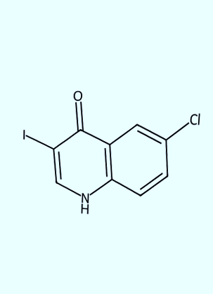 O=c1c(I)c[nH]c2ccc(Cl)cc12